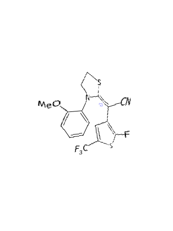 COc1ccccc1N1CCS/C1=C(\C#N)c1cc(C(F)(F)F)sc1F